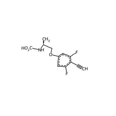 C#Cc1c(F)cc(OC[C@H](C)NC(=O)O)cc1F